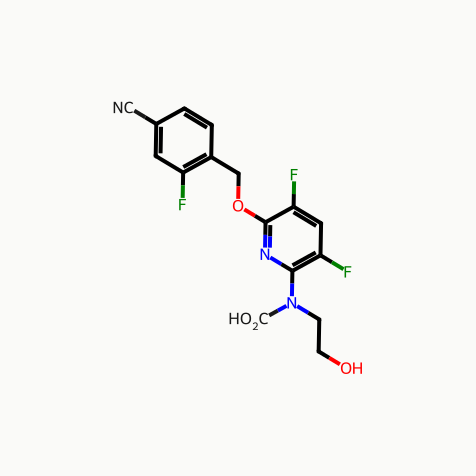 N#Cc1ccc(COc2nc(N(CCO)C(=O)O)c(F)cc2F)c(F)c1